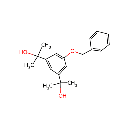 CC(C)(O)c1cc(OCc2ccccc2)cc(C(C)(C)O)c1